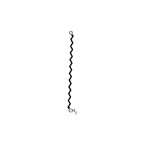 C=CCCCCCCCCCCCCCCCCCCCCC=O